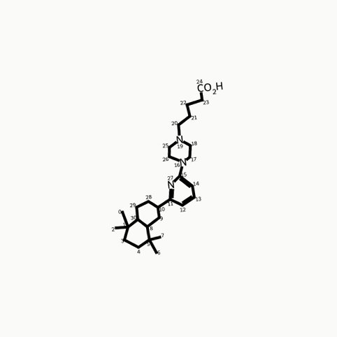 CC1(C)CCC(C)(C)C2CC(c3cccc(N4CCN(CCCCC(=O)O)CC4)n3)CCC21